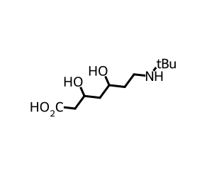 CC(C)(C)NCCC(O)CC(O)CC(=O)O